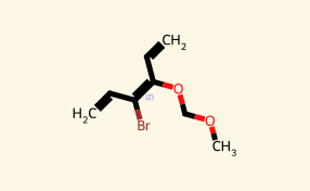 C=C/C(Br)=C(\C=C)OCOC